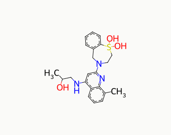 Cc1cccc2c(NCC(C)O)cc(N3CCS(O)(O)c4ccccc4C3)nc12